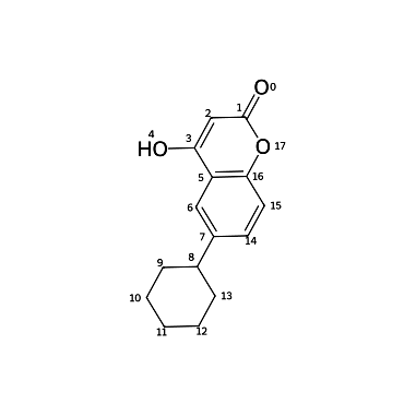 O=c1cc(O)c2cc(C3CCCCC3)ccc2o1